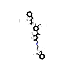 COc1cc(-c2csc3c(/C=C/CCN4C(=O)c5ccccc5C4=O)cnc(N)c23)ccc1NC(=O)c1cc2ccccc2n1C